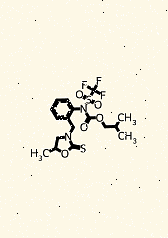 CC(C)COC(=O)N(c1ccccc1CN1CC(C)OC1=S)S(=O)(=O)C(F)(F)F